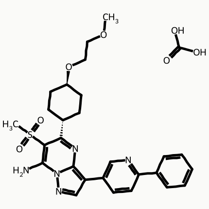 COCCO[C@H]1CC[C@H](c2nc3c(-c4ccc(-c5ccccc5)nc4)cnn3c(N)c2S(C)(=O)=O)CC1.O=C(O)O